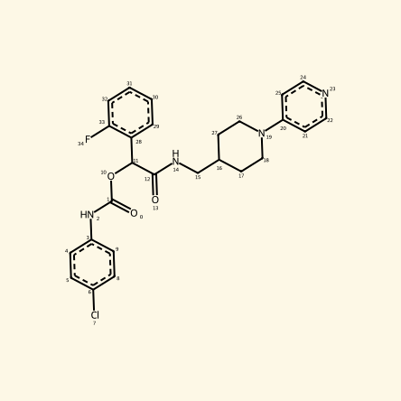 O=C(Nc1ccc(Cl)cc1)OC(C(=O)NCC1CCN(c2ccncc2)CC1)c1ccccc1F